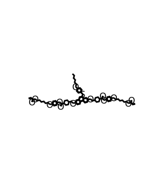 C=CC(=O)OCCCCCCOc1ccc(OC(=O)C2CCC(COc3ccc4c(c3)cc(Sc3ccc(OCCCCCC)cc3)c3cc(OCC5CCC(C(=O)Oc6ccc(OCCCCCCOC(=O)C=C)cc6)CC5)ccc34)CC2)cc1